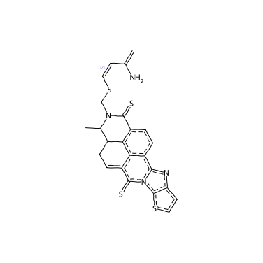 C=C(N)/C=C\SCN1C(=S)c2ccc3c4c2C(CC=c4c(=S)n2c3nc3ccsc32)C1C